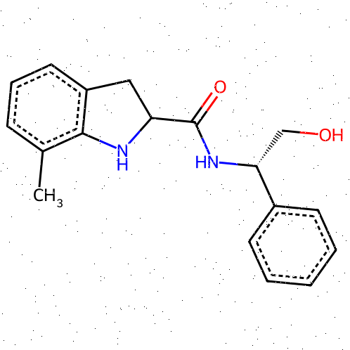 Cc1cccc2c1NC(C(=O)N[C@H](CO)c1ccccc1)C2